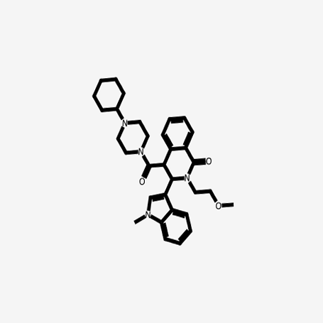 COCCN1C(=O)c2ccccc2C(C(=O)N2CCN(C3CCCCC3)CC2)C1c1cn(C)c2ccccc12